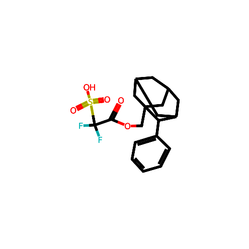 O=C(OCC12CC3CC(CC(C3)C1c1ccccc1)C2)C(F)(F)S(=O)(=O)O